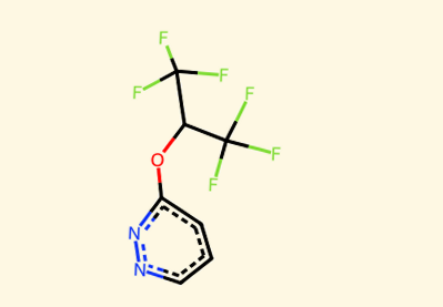 FC(F)(F)C(Oc1cccnn1)C(F)(F)F